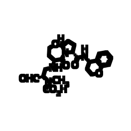 CN(C(=O)O)[C@H](C=O)CN[C@H]1CCO[C@H]2CC[C@H](C(=O)N[C@@H]3CCOc4ccccc43)N2C1=O